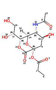 CCC(=O)O[C@@]12C[C@H](O)[C@@H](NC(C)=O)[C@@H](O1)[C@@H]([C@H](O)CO)OC2=O